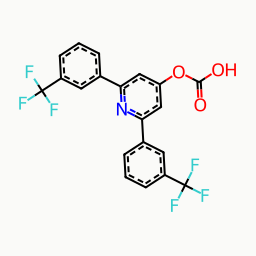 O=C(O)Oc1cc(-c2cccc(C(F)(F)F)c2)nc(-c2cccc(C(F)(F)F)c2)c1